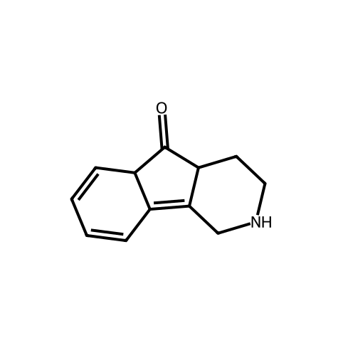 O=C1C2C=CC=CC2=C2CNCCC12